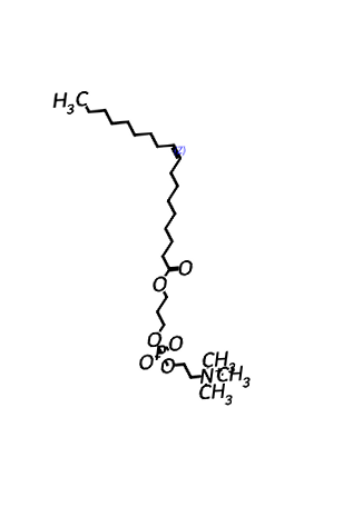 CCCCCCCC/C=C\CCCCCCCC(=O)OCCCOP(=O)([O-])OCC[N+](C)(C)C